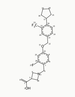 C=C(O)C1CN(Cc2ccc(OCc3ccc(C4CCCC4)c(C(F)(F)F)c3)cc2F)C1